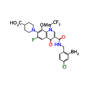 Bc1cc(Cl)ccc1CNC(=O)c1cn(CC(F)(F)F)c2c(OC)c(N3CCC(C(=O)O)CC3)c(F)cc2c1=O